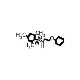 Cc1cc(C)c(S(=O)(=O)NCCOc2ccccc2)c(C)c1